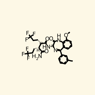 COc1cccc2c1NC(=O)[C@@H](NC(=O)[C@@H](CCC(F)(F)F)[C@@H](CCC(F)(F)F)C(N)=O)N=C2c1cccc(C)c1